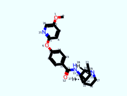 COc1ccc(Oc2ccc(C(=O)N[C@@H]3C4CCN(CC4)[C@H]3C)cc2)nc1